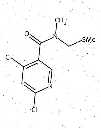 CSCN(C)C(=O)c1cnc(Cl)cc1Cl